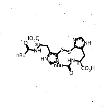 CCCCC(=O)N[C@@H](Cc1[nH]cnc1SSc1nc[nH]c1C[C@H](NC(=O)CCCC)C(=O)O)C(=O)O